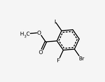 COC(=O)c1c(I)ccc(Br)c1F